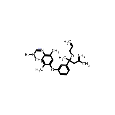 C=CCOC(C)(CC(=C)C)c1cccc(Oc2cc(C)c(/N=C\N(C)CC)cc2C)c1